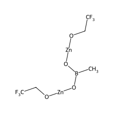 CB([O][Zn][O]CC(F)(F)F)[O][Zn][O]CC(F)(F)F